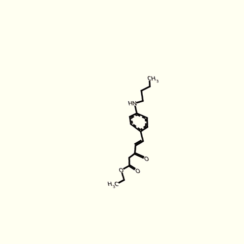 CCCCNc1ccc(C=CC(=O)CC(=O)OCC)cc1